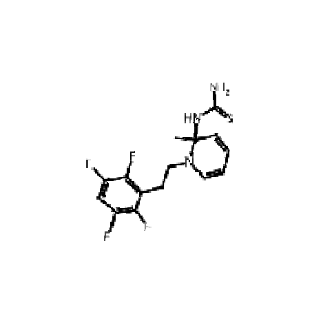 CC1(NC(N)=S)C=CC=CN1CCc1c(F)c(F)cc(F)c1F